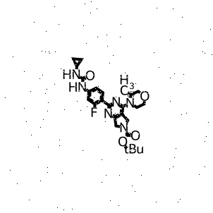 C[C@H]1COCCN1c1nc(-c2ccc(NC(=O)NC3CC3)cc2F)nc2c1CN(C(=O)OC(C)(C)C)C2